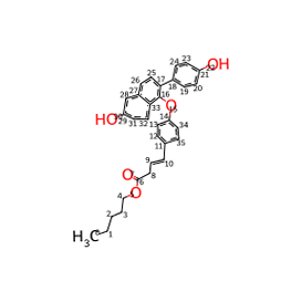 CCCCCOC(=O)CC=Cc1ccc(Oc2c(-c3ccc(O)cc3)ccc3cc(O)ccc23)cc1